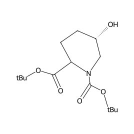 CC(C)(C)OC(=O)C1CC[C@H](O)CN1C(=O)OC(C)(C)C